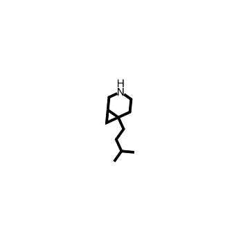 CC(C)CCC12CCNCC1C2